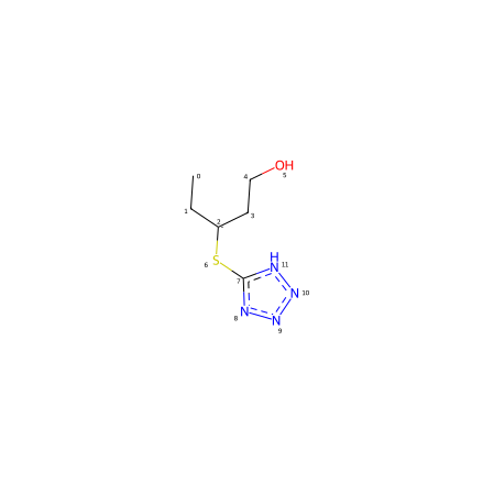 CC[C](CCO)Sc1nnn[nH]1